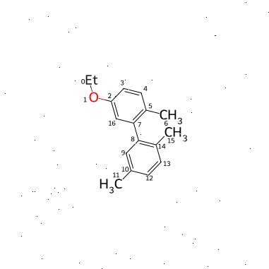 CCOc1ccc(C)c(-c2cc(C)ccc2C)c1